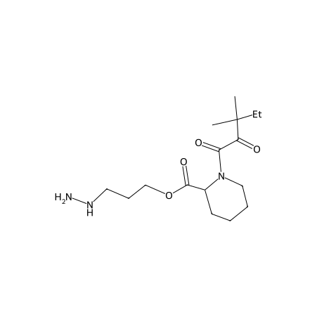 CCC(C)(C)C(=O)C(=O)N1CCCCC1C(=O)OCCCNN